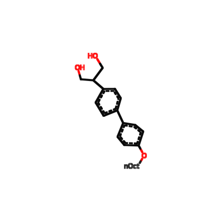 CCCCCCCCOc1ccc(-c2ccc(C(CO)CO)cc2)cc1